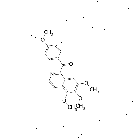 COc1ccc(C(=O)c2nccc3c(OC)c(OC)c(OC)cc23)cc1